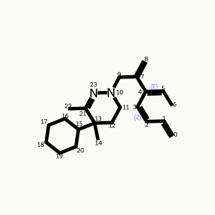 C=C/C=C\C(=C/C)C(=C)CN1CCC(C)(C2CCCCC2)C(C)=N1